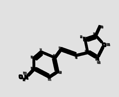 Cc1nc(/C=C/c2ccc([N+](=O)[O-])cc2)no1